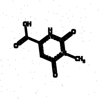 Cn1c(=O)cc(C(=O)O)[nH]c1=O